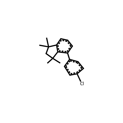 CC1(C)CC(C)(C)c2c(-c3ccc(Cl)cc3)cccc21